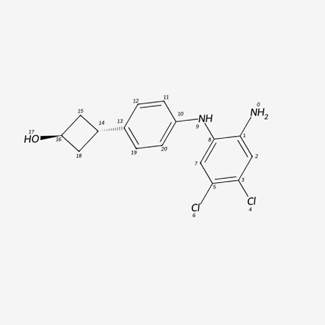 Nc1cc(Cl)c(Cl)cc1Nc1ccc([C@H]2C[C@H](O)C2)cc1